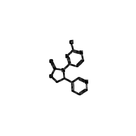 O=C1OCC(c2cccnc2)N1c1ccnc(Cl)n1